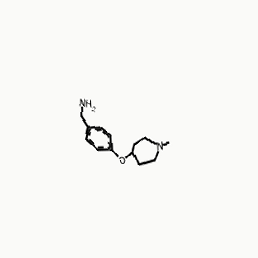 CN1CCC(Oc2ccc(CN)cc2)CC1